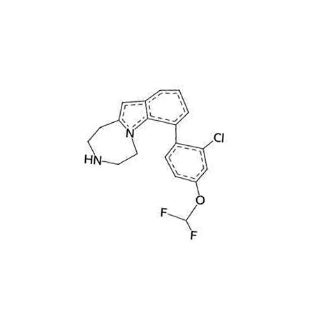 FC(F)Oc1ccc(-c2cccc3cc4n(c23)CCNCC4)c(Cl)c1